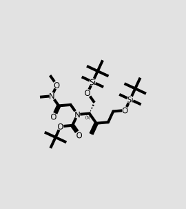 C=C(CCO[Si](C)(C)C(C)(C)C)[C@@H](CO[Si](C)(C)C(C)(C)C)N(CC(=O)N(C)OC)C(=O)OC(C)(C)C